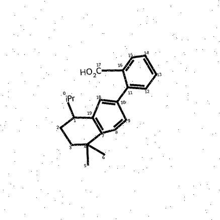 CC(C)C1CCC(C)(C)c2ccc(-c3ccccc3C(=O)O)cc21